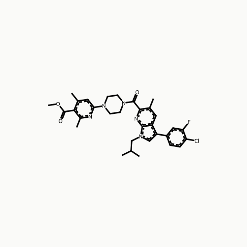 COC(=O)c1c(C)cc(N2CCN(C(=O)c3nc4c(cc3C)c(-c3ccc(Cl)c(F)c3)cn4CC(C)C)CC2)nc1C